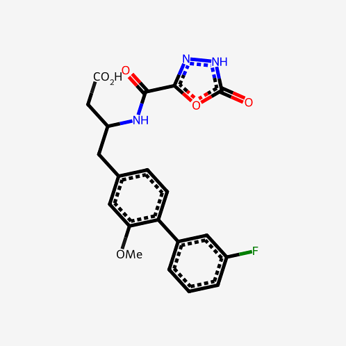 COc1cc(CC(CC(=O)O)NC(=O)c2n[nH]c(=O)o2)ccc1-c1cccc(F)c1